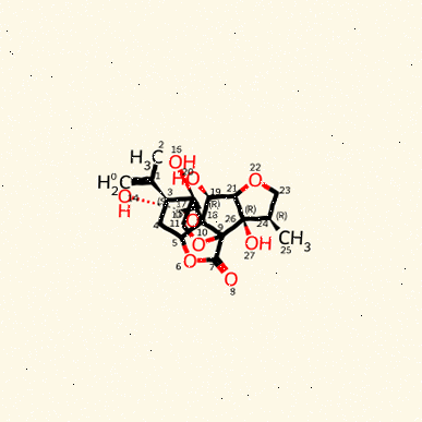 C=C(C)[C@@H]1CC2OC(=O)C34OC5O[C@H](O)[C@H](O)C51C23[C@@H](O)C1OC[C@@H](C)[C@@]14O